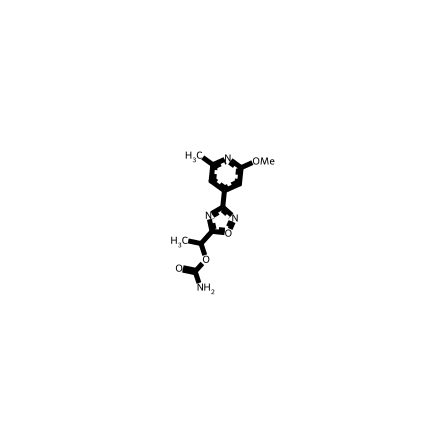 COc1cc(-c2noc(C(C)OC(N)=O)n2)cc(C)n1